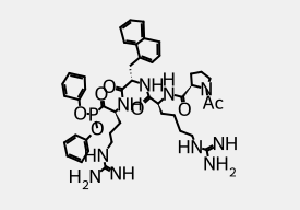 CC(=O)N1CCC[C@@H]1C(=O)N[C@@H](CCCCNC(=N)N)C(=O)N[C@@H](Cc1cccc2ccccc12)C(=O)N[C@@H](CCCNC(=N)N)C(=O)P(Oc1ccccc1)Oc1ccccc1